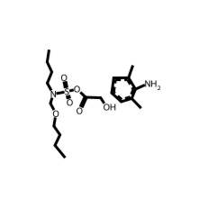 CCCCOCN(CCCC)S(=O)(=O)OC(=O)CO.Cc1cccc(C)c1N